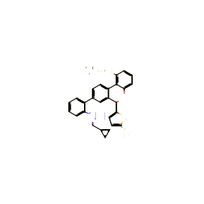 COc1cccc2c1-c1ccc(-c3ccccc3NCC3CC3)cc1C(c1ccc(Br)s1)O2